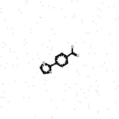 O=C(Cl)c1ccc(-c2ncco2)cc1